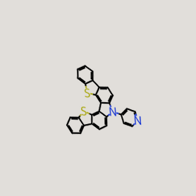 c1ccc2c(c1)sc1c2ccc2c1c1c3sc4ccccc4c3ccc1n2-c1ccncc1